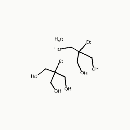 CCC(CO)(CO)CO.CCC(CO)(CO)CO.O